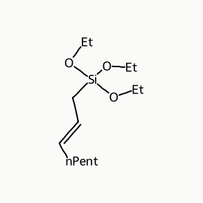 CCCCCC=CC[Si](OCC)(OCC)OCC